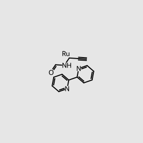 C#CCNC=O.[Ru].c1ccc(-c2ccccn2)nc1